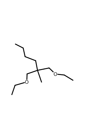 CCCCC(C)(COCC)COCC